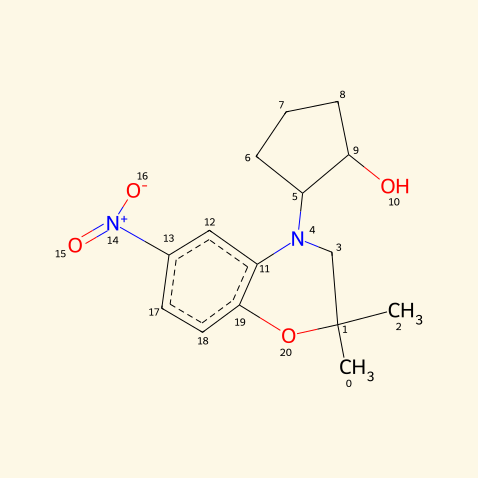 CC1(C)CN(C2CCCC2O)c2cc([N+](=O)[O-])ccc2O1